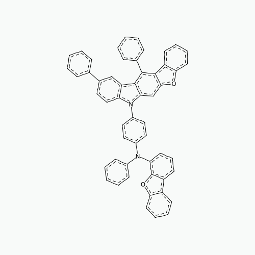 c1ccc(-c2ccc3c(c2)c2c(-c4ccccc4)c4c(cc2n3-c2ccc(N(c3ccccc3)c3cccc5c3oc3ccccc35)cc2)oc2ccccc24)cc1